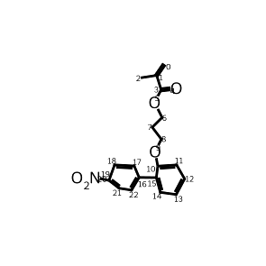 C=C(C)C(=O)OCCCOc1ccccc1-c1ccc([N+](=O)[O-])cc1